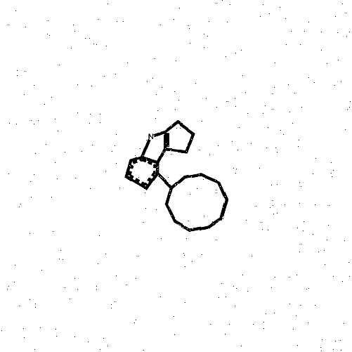 c1cc2c(c(C3CCCCCCCCC3)c1)C1=C(CCC1)[N]2